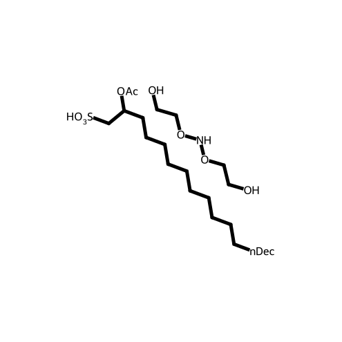 CCCCCCCCCCCCCCCCCCCCC(CS(=O)(=O)O)OC(C)=O.OCCONOCCO